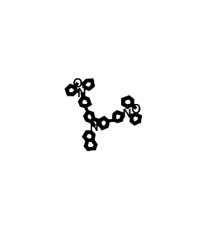 c1ccc2c(c1)Oc1ccccc1N2c1ccc(-c2ccc3c(c2)c2cc(-c4ccc(N5c6ccccc6Oc6ccccc65)cc4)ccc2n3-c2ccc3ccccc3c2)cc1